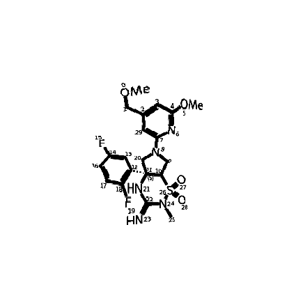 COCc1cc(OC)nc(N2CC3[C@](c4cc(F)ccc4F)(C2)NC(=N)N(C)S3(=O)=O)c1